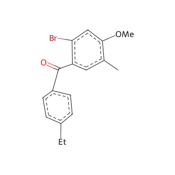 CCc1ccc(C(=O)c2cc(C)c(OC)cc2Br)cc1